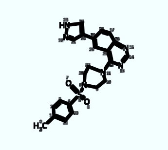 Cc1ccc(S(=O)(=O)N2CCN(c3ncnc4ccc(-c5cn[nH]c5)cc34)CC2)cc1